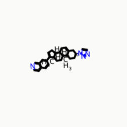 C[C@]12CC[C@H](n3ccnn3)CC1=CC[C@@H]1[C@@H]2CC[C@]2(C)C(C3C=Cc4ccncc4C3)=CC[C@@H]12